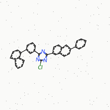 Clc1nc(-c2cccc(-c3cccc4ccccc34)c2)nc(-c2ccc3cc(-c4ccccc4)ccc3c2)n1